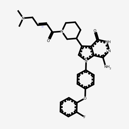 CN(C)C/C=C/C(=O)N1CCCC(c2cn(-c3ccc(Oc4ccccc4F)cc3)c3c(N)n[nH]c(=O)c23)C1